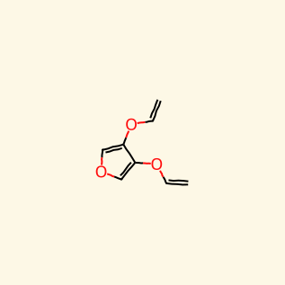 C=COc1cocc1OC=C